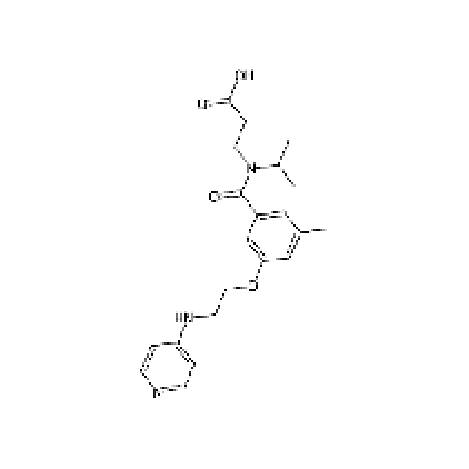 Cc1cc(OCCNc2ccncc2)cc(C(=O)N(CCC(=O)O)C(C)C)c1